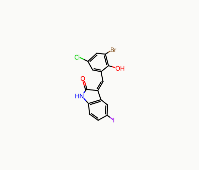 O=C1Nc2ccc(I)cc2C1=Cc1cc(Cl)cc(Br)c1O